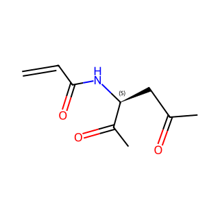 C=CC(=O)N[C@@H](CC(C)=O)C(C)=O